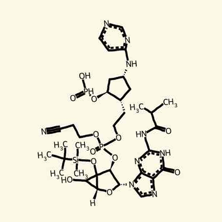 CC(C)C(=O)Nc1nc2c(ncn2[C@@H]2O[C@@H]3C(O)C3(O[Si](C)(C)C(C)(C)C)[C@H]2OP(=O)(OCCC#N)OCC[C@H]2C[C@@H](Nc3ccncn3)C[C@@H]2O[PH](=O)O)c(=O)[nH]1